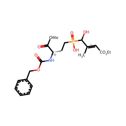 CCOC(=O)/C=C(\C)C(O)P(=O)(O)CC[C@H](NC(=O)OCc1ccccc1)C(=O)OC